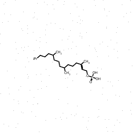 CC(=CCOP(=O)(O)O)CCCC(C)CCCC(C)CCCC(C)C